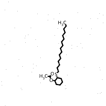 CCCCCCCCCCCCCCCCS[C@H]1CCCCC1OC(C)=O